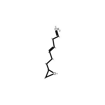 C=CCC=CCCC1CO1